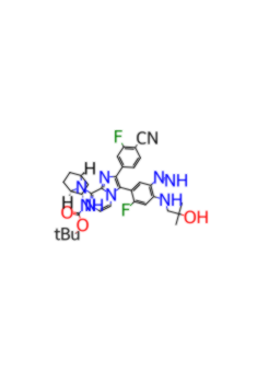 CC(C)(O)CNc1cc(F)c(-c2c(-c3ccc(C#N)c(F)c3)nc3c(N4[C@@H]5CC[C@@H]4[C@@H](NC(=O)OC(C)(C)C)C5)nccn23)cc1N=N